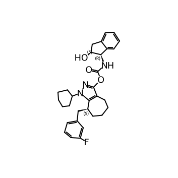 O=C(N[C@@H]1c2ccccc2C[C@@H]1O)Oc1nn(C2CCCCC2)c2c1CCCC[C@H]2Cc1cccc(F)c1